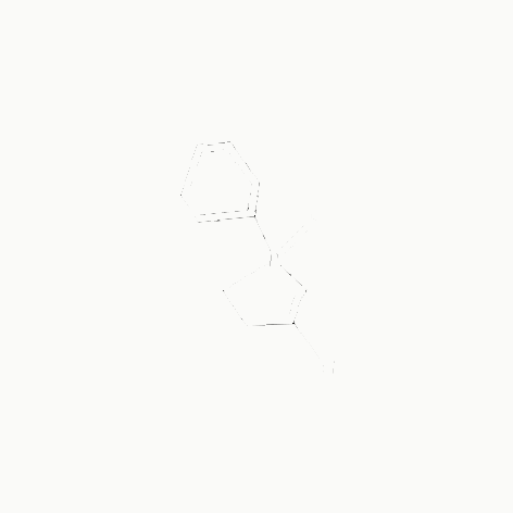 S=P1(c2ccccc2)C=C(Cl)CC1